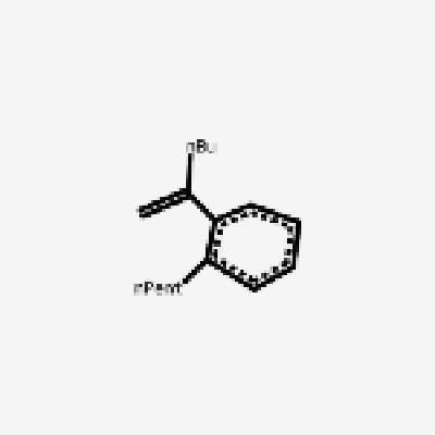 C=C(CCCC)c1ccccc1CCCCC